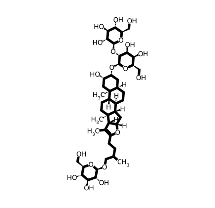 CC1=C(CCC(C)CO[C@@H]2O[C@H](CO)[C@@H](O)[C@H](O)[C@H]2O)O[C@H]2C[C@H]3[C@@H]4CC[C@@H]5C[C@@H](O[C@@H]6O[C@H](CO)[C@H](O)[C@H](O)[C@H]6O[C@@H]6O[C@H](CO)[C@@H](O)[C@H](O)[C@H]6O)[C@@H](O)C[C@]5(C)[C@H]4CC[C@]3(C)[C@@H]12